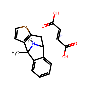 CN1C2Cc3sccc3C1(C)c1ccccc12.O=C(O)/C=C/C(=O)O